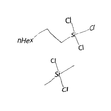 CCCCCCCC[Si](Cl)(Cl)Cl.C[Si](C)(Cl)Cl